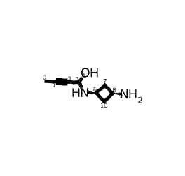 CC#CC(O)N[C@H]1C[C@@H](N)C1